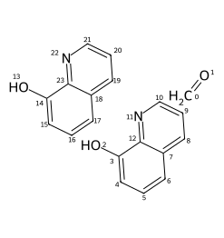 C=O.Oc1cccc2cccnc12.Oc1cccc2cccnc12